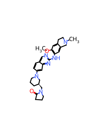 COc1cc2c(cc1Nc1ncc3ccc(N4CCC[C@H](CN5CCCC5=O)C4)cc3n1)CN(C)CC2